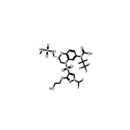 CNS(=O)(=O)NC[C@H]1CN(S(=O)(=O)c2cn(C(F)F)nc2OCCO)c2cc(N(C(=O)O)C(C)(C)C(F)(F)F)ccc2O1